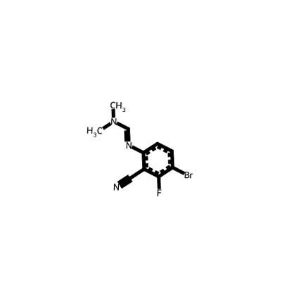 CN(C)/C=N/c1ccc(Br)c(F)c1C#N